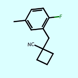 Cc1ccc(F)c(CC2(C#N)CCC2)c1